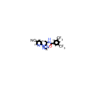 CC(NC(=O)c1cc(C(F)(F)F)cc(C(F)(F)F)c1)c1ncnn1-c1ccc(C#N)cn1